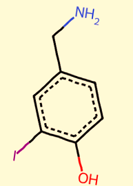 NCc1ccc(O)c(I)c1